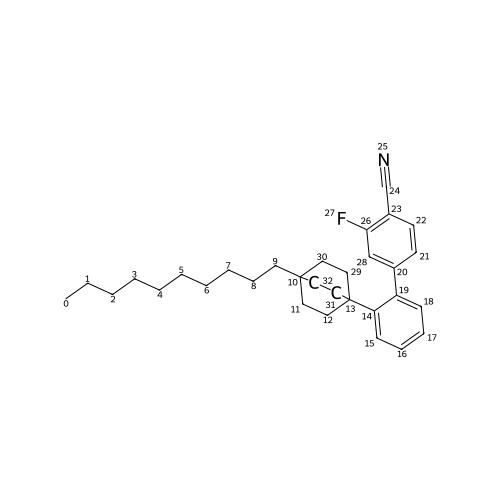 CCCCCCCCCCC12CCC(c3ccccc3-c3ccc(C#N)c(F)c3)(CC1)CC2